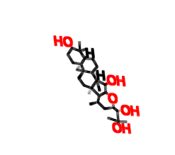 C[C@@H]1C[C@H]([C@H](O)C(C)(C)O)OC2C1[C@@]1(C)CC[C@@]34C[C@@]35CC[C@H](O)C(C)(C)[C@@H]5CC[C@H]4[C@]1(C)[C@H]2O